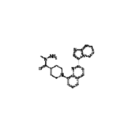 CN(N)C(=O)C1CCN(c2cccc3ccc(-c4cnc5ccccn45)nc23)CC1